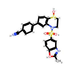 Cc1nc2cc(S(=O)(=O)N3CC[S+]([O-])c4ccc(-c5ccc(C#N)cc5)cc43)ccc2o1